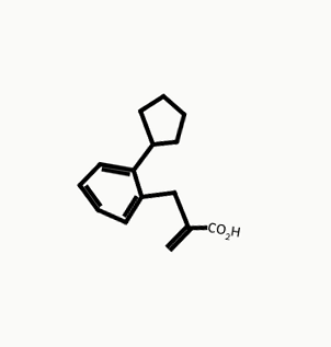 C=C(Cc1ccccc1C1CCCC1)C(=O)O